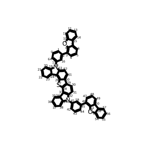 c1cc(-c2cccc3c2oc2ccccc23)cc(-n2c3ccccc3c3c4sc5c(ccc6c5c5ccccc5n6-c5cccc(-c6cccc7c6oc6ccccc67)c5)c4ccc32)c1